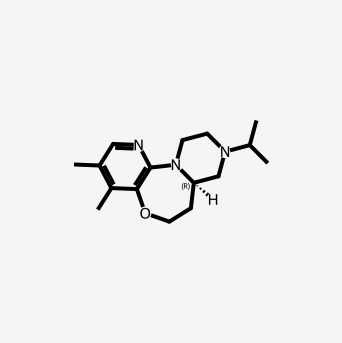 Cc1cnc2c(c1C)OCC[C@@H]1CN(C(C)C)CCN21